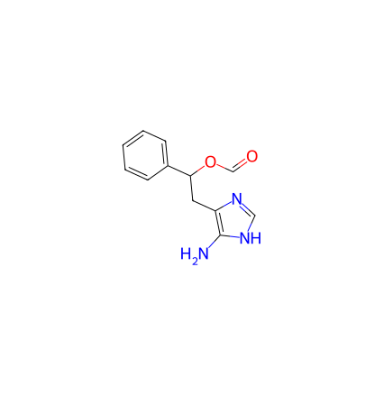 Nc1[nH]cnc1CC(OC=O)c1ccccc1